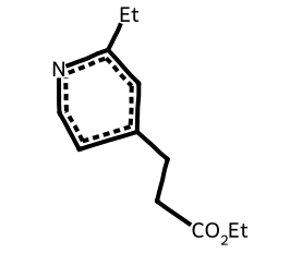 CCOC(=O)CCc1ccnc(CC)c1